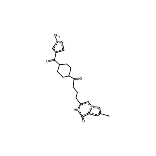 Cn1cc(C(=O)C2CCN(C(=O)CCCc3nn4cc(F)cc4c(=O)[nH]3)CC2)cn1